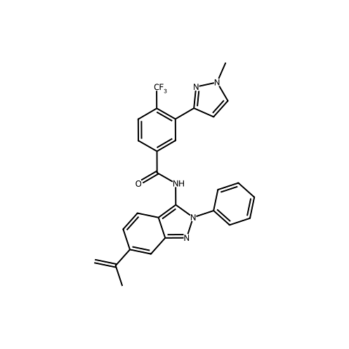 C=C(C)c1ccc2c(NC(=O)c3ccc(C(F)(F)F)c(-c4ccn(C)n4)c3)n(-c3ccccc3)nc2c1